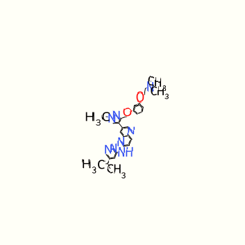 CC(C)c1cnnc(Nc2ccc3ncc(-c4cn(C)nc4COc4cccc(OCCN(C)C)c4)cc3n2)c1